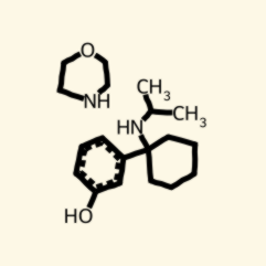 C1COCCN1.CC(C)NC1(c2cccc(O)c2)CCCCC1